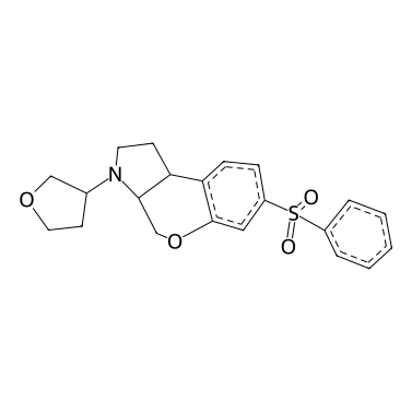 O=S(=O)(c1ccccc1)c1ccc2c(c1)OCC1C2CCN1C1CCOC1